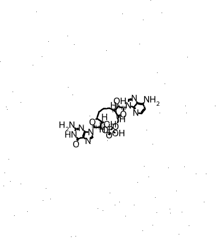 Nc1nc2c(ncn2[C@@H]2OC3CCC[C@H]4[C@@H](O)[C@H](n5cnc6c(N)ccnc65)O[C@@H]4COP(=O)(O)O[C@@H]2[C@@H]3O)c(=O)[nH]1